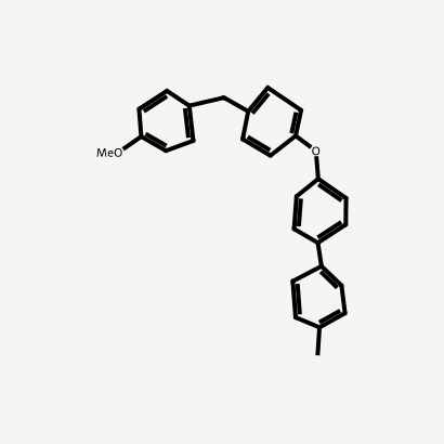 COc1ccc(Cc2ccc(Oc3ccc(-c4ccc(C)cc4)cc3)cc2)cc1